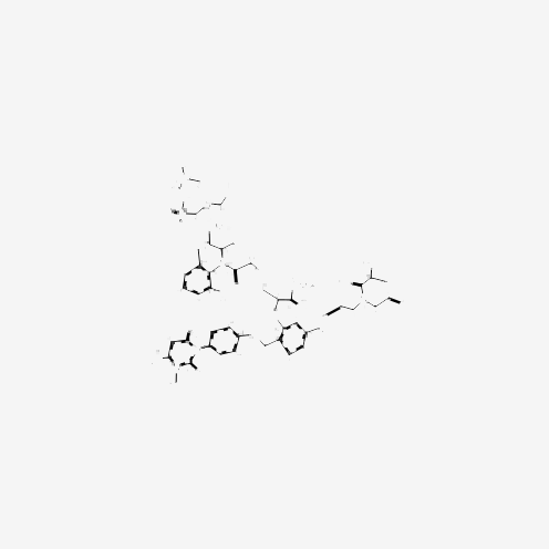 C=CCN(CC=C)C(=O)C(Cl)Cl.CCc1ccc(COc2ccc(-n3c(=O)cc(C(F)(F)F)n(C)c3=O)cc2)c(OC(C)C(=O)OC)c1.CCc1cccc(C)c1N(C(=O)CCl)C(C)COC.C[S+](C)C.O=C(O)CNCP(=O)([O-])O